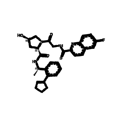 C[C@H](NC(=O)[C@@H]1C[C@@H](O)CN1C(=O)CNC(=O)c1ccc2cc(F)ccc2n1)c1ccccc1C1=CCCC1